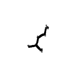 CCCCCC(C)Cl